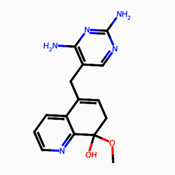 COC1(O)CC=C(Cc2cnc(N)nc2N)c2cccnc21